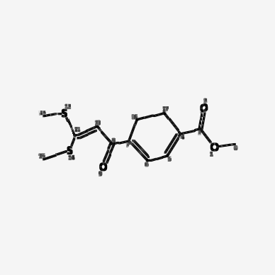 COC(=O)C1=CC=C(C(=O)C=C(SC)SC)CC1